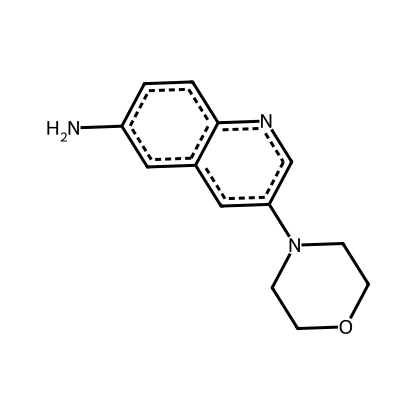 Nc1ccc2ncc(N3CCOCC3)cc2c1